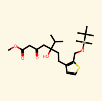 COC(=O)CC(=O)CC(O)(CCc1ccsc1CO[Si](C)(C)C(C)(C)C)C(C)C